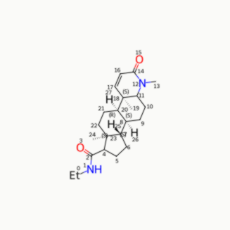 CCNC(=O)C1CC[C@H]2[C@@H]3CCC4N(C)C(=O)C=C[C@]4(C)[C@@H]3CC[C@]12C